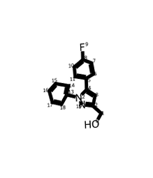 OCc1cc(-c2ccc(F)cc2)n(-c2ccccc2)n1